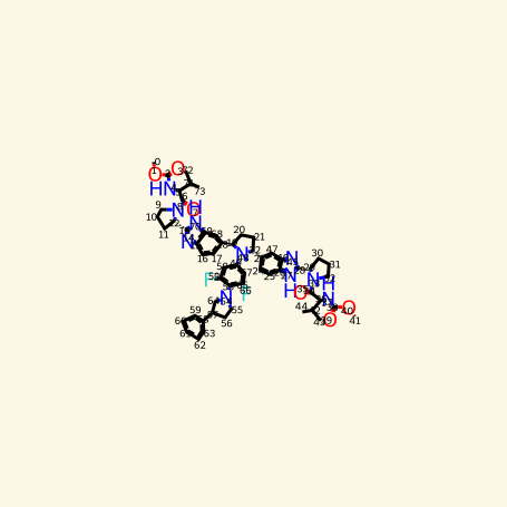 COC(=O)NC(C(=O)N1CCC[C@H]1c1nc2ccc([C@H]3CC[C@H](c4ccc5[nH]c([C@@H]6CCCN6C(=O)[C@@H](NC(=O)OC)C(C)C)nc5c4)N3c3cc(F)c(N4CCC(c5ccccc5)C4)c(F)c3)cc2[nH]1)C(C)C